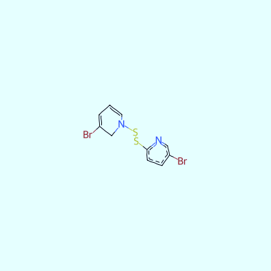 BrC1=CC=CN(SSc2ccc(Br)cn2)C1